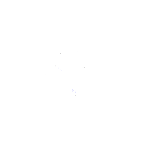 C=Cc1ccn(C)c1N